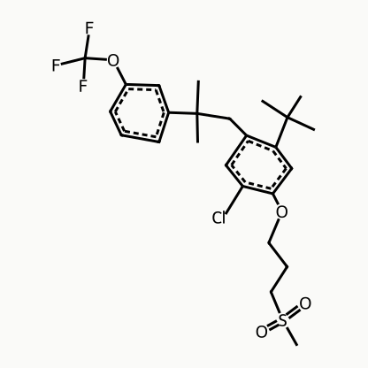 CC(C)(C)c1cc(OCCCS(C)(=O)=O)c(Cl)cc1CC(C)(C)c1cccc(OC(F)(F)F)c1